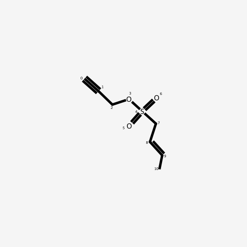 C#CCOS(=O)(=O)CC=CC